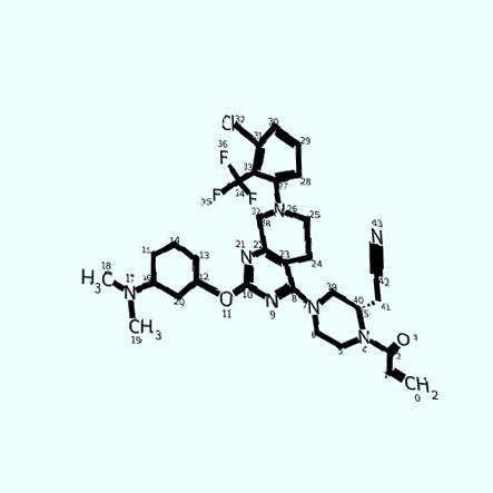 C=CC(=O)N1CCN(c2nc(OC3CCCC(N(C)C)C3)nc3c2CCN(c2cccc(Cl)c2C(F)(F)F)C3)C[C@@H]1CC#N